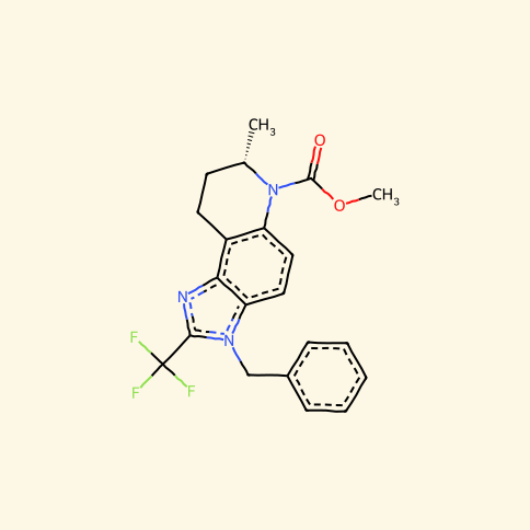 COC(=O)N1c2ccc3c(nc(C(F)(F)F)n3Cc3ccccc3)c2CC[C@@H]1C